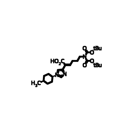 CC(C)(C)OC(=O)N(CCC/C=C(\C(=O)O)c1cn([C@H]2CC[C@H](C)CC2)cn1)C(=O)OC(C)(C)C